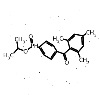 Cc1cc(C)c(C(=O)c2ccc([PH](=O)OC(C)C)cc2)c(C)c1